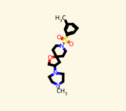 Cc1cccc(S(=O)(=O)N2CCC3(CC2)CC(N2CCN(C)CC2)CO3)c1